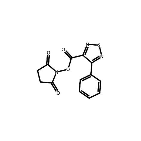 O=C(ON1C(=O)CCC1=O)c1nsnc1-c1ccccc1